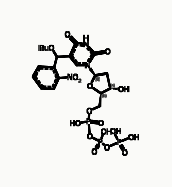 CC(C)COC(c1ccccc1[N+](=O)[O-])c1cn([C@H]2C[C@H](O)[C@@H](COP(=O)(O)OP(=O)(O)OP(=O)(O)O)O2)c(=O)[nH]c1=O